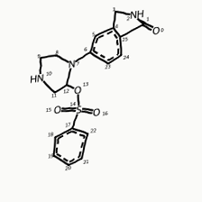 O=C1NCc2cc(N3CCNCC3OS(=O)(=O)c3ccccc3)ccc21